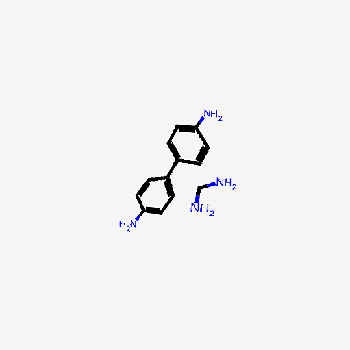 NCN.Nc1ccc(-c2ccc(N)cc2)cc1